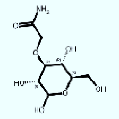 NC(=O)CO[C@H]1[C@H](O)[C@@H](CO)OC(O)[C@@H]1O